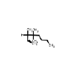 C=CC(C)(F)C(C)(C)CCCC